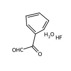 F.O.O=CC(=O)c1ccccc1